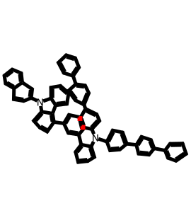 c1ccc(-c2ccc(-c3ccc(N(c4ccc(-c5ccc(-c6ccccc6)cc5)cc4)c4ccccc4-c4cccc(-c5cccc6c5c5ccccc5n6-c5ccc6ccccc6c5)c4)cc3)cc2)cc1